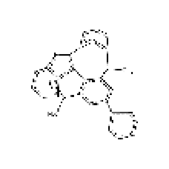 CC(C)c1cc(-c2ccccc2)cc2c1-n1c(nc3ccccc31)-c1cccc(c1)C2C